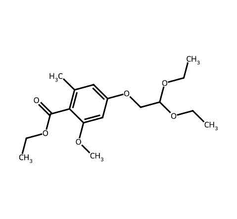 CCOC(=O)c1c(C)cc(OCC(OCC)OCC)cc1OC